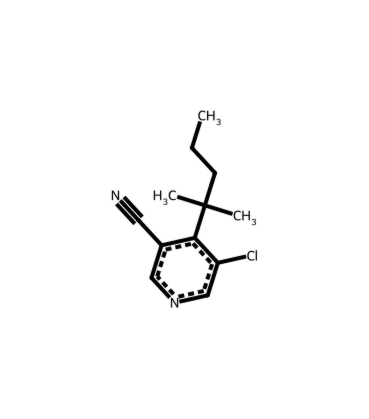 CCCC(C)(C)c1c(Cl)cncc1C#N